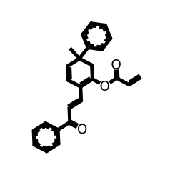 C=CC(=O)OC1=C(C=CC(=O)c2ccccc2)C=CC(C)(c2ccccc2)C1